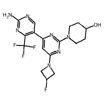 Nc1ncc(-c2cc(N3CC(F)C3)nc(N3CCC(O)CC3)n2)c(C(F)(F)F)n1